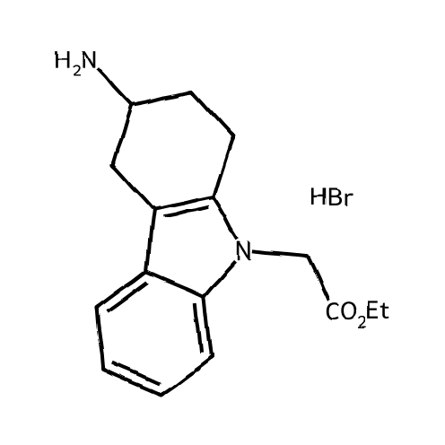 Br.CCOC(=O)Cn1c2c(c3ccccc31)CC(N)CC2